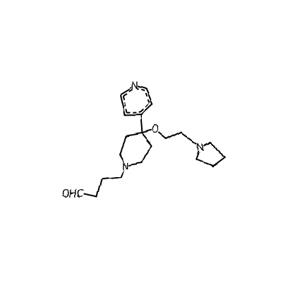 O=CCCCN1CCC(OCCN2CCCC2)(c2ccncc2)CC1